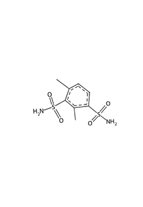 Cc1ccc(S(N)(=O)=O)c(C)c1S(N)(=O)=O